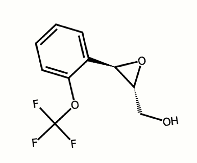 OC[C@H]1O[C@@H]1c1ccccc1OC(F)(F)F